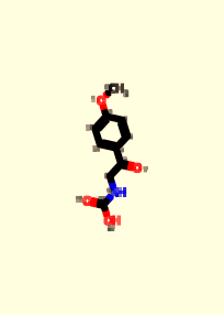 COc1ccc(C(=O)CNC(=O)O)cc1